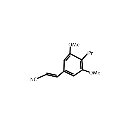 COc1cc(/C=C/C#N)cc(OC)c1C(C)C